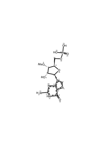 CO[C@H]1[C@@H](O)[C@H](n2cnc3c(=O)[nH]c(N)nc32)O[C@@H]1COP(=O)(O)O